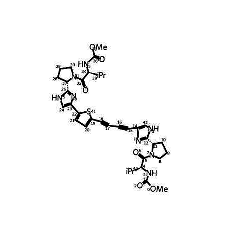 COC(=O)N[C@H](C(=O)N1CCC[C@H]1c1nc(C#CC#Cc2ccc(-c3c[nH]c([C@@H]4CCCN4C(=O)[C@@H](NC(=O)OC)C(C)C)n3)s2)c[nH]1)C(C)C